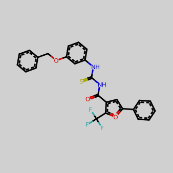 O=C(NC(=S)Nc1cccc(OCc2ccccc2)c1)c1cc(-c2ccccc2)oc1C(F)(F)F